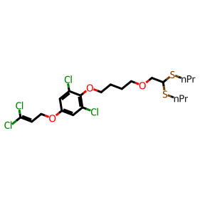 CCCSC(COCCCCOc1c(Cl)cc(OCC=C(Cl)Cl)cc1Cl)SCCC